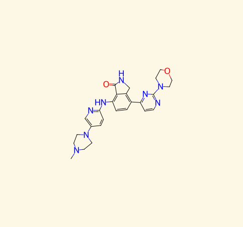 CN1CCN(c2ccc(Nc3ccc(-c4ccnc(N5CCOCC5)n4)c4c3C(=O)NC4)nc2)CC1